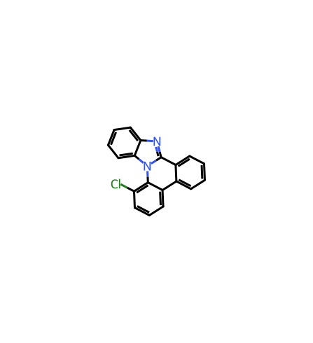 Clc1cccc2c3ccccc3c3nc4ccccc4n3c12